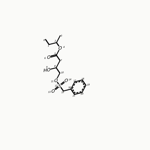 CCC(C)OC(=O)CC(O)COS(=O)(=O)Cc1ccccc1